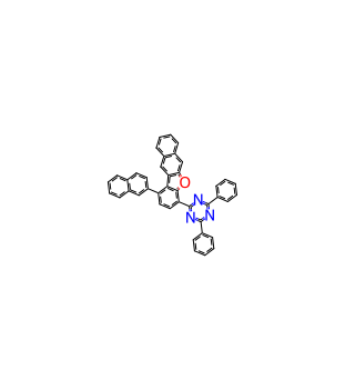 c1ccc(-c2nc(-c3ccccc3)nc(-c3ccc(-c4ccc5ccccc5c4)c4c3oc3cc5ccccc5cc34)n2)cc1